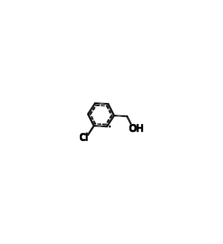 OCc1[c]c(Cl)ccc1